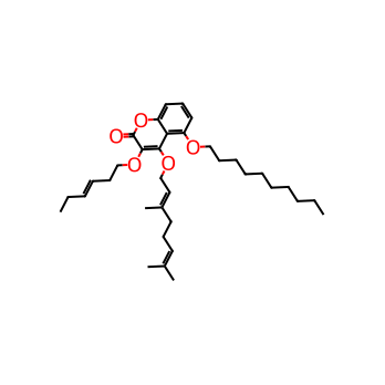 CC/C=C/CCOc1c(OC/C=C(\C)CCC=C(C)C)c2c(OCCCCCCCCCC)cccc2oc1=O